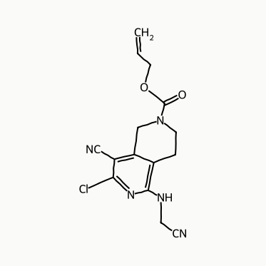 C=CCOC(=O)N1CCc2c(NCC#N)nc(Cl)c(C#N)c2C1